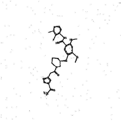 CNc1cc(OC)c(O[C@@H]2CCCN(C(=O)Cn3cc(C(N)=O)cn3)C2)cc1C(=N)Nc1cccc(C)c1F